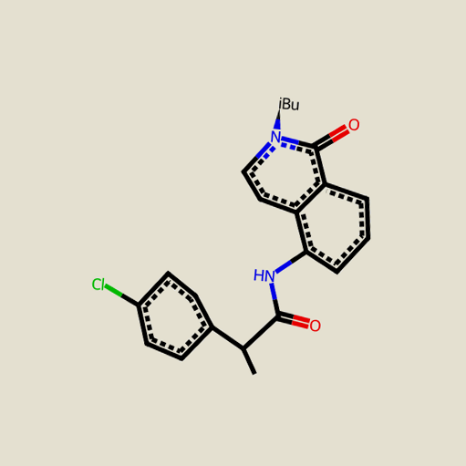 CC[C@H](C)n1ccc2c(NC(=O)C(C)c3ccc(Cl)cc3)cccc2c1=O